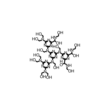 OCNC(O)c1nc(C(O)NCO)nc(N(CO)c2nc(N(CO)c3nc(C(O)NCO)nc(N(CO)CO)n3)nc(N(CO)c3nc(N(CO)CO)nc(N(CO)CO)n3)n2)n1